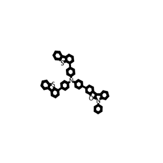 c1ccc(-n2c3ccccc3c3c4ccc(-c5ccc(N(c6ccc(-c7cccc8c7sc7ccccc78)cc6)c6ccc(-c7cccc8c7sc7ccccc78)cc6)cc5)cc4oc32)cc1